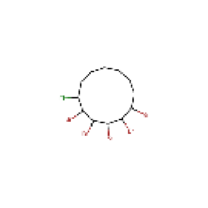 ClC1CCCCCCC(Br)C(Br)C(Br)C(Br)C1Br